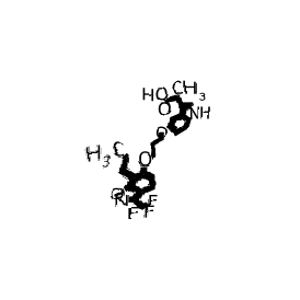 CCCc1c(OCCCOc2ccc3[nH]cc(C(C)C(=O)O)c3c2)ccc2c(C(F)(F)F)noc12